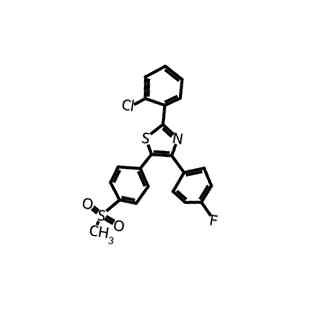 CS(=O)(=O)c1ccc(-c2sc(-c3ccccc3Cl)nc2-c2ccc(F)cc2)cc1